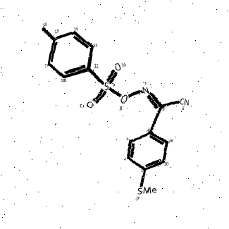 CSc1ccc(/C(C#N)=N\OS(=O)(=O)c2ccc(C)cc2)cc1